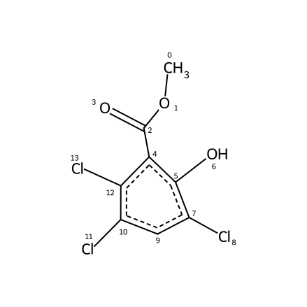 COC(=O)c1c(O)c(Cl)cc(Cl)c1Cl